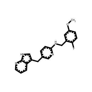 COc1ccc(F)c(CNc2ccc(Cc3c[nH]c4ncccc34)cn2)c1